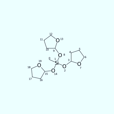 C[Si](OC1CCCO1)(OC1CCCO1)OC1CCCO1